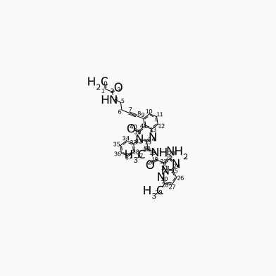 C=CC(=O)NCCC#Cc1cccc2nc([C@@H](C)NC(=O)c3c(N)nc4ccc(C)nn34)n(-c3ccccc3)c(=O)c12